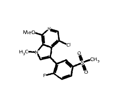 COc1ncc(Cl)c2c(-c3cc(S(C)(=O)=O)ccc3F)cn(C)c12